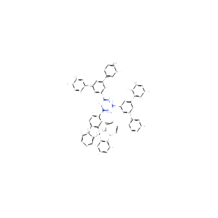 C1=CC2c3ccccc3C3(c4ccccc4-c4ccc(-c5nc(-c6cc(-c7ccccc7)cc(-c7ccccc7)c6)nc(-c6cc(-c7ccccc7)cc(-c7ccccc7)c6)n5)cc43)C2C=C1